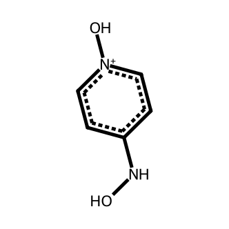 ONc1cc[n+](O)cc1